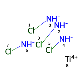 [NH-]Cl.[NH-]Cl.[NH-]Cl.[NH-]Cl.[Ti+4]